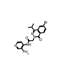 CC(C)c1nn(CC(=O)Nc2ccncc2P)c(=O)c2ccc(Br)cc12